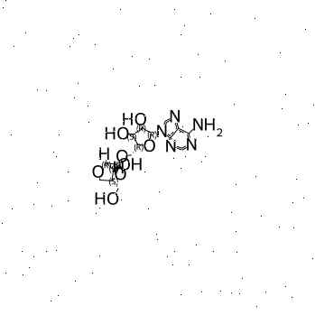 Nc1ncnc2c1ncn2[C@@H]1O[C@H](CO[C@@H]2O[C@@]3(CO)CO[C@@H]2[C@@H]3O)[C@@H](O)[C@H]1O